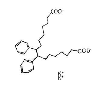 O=C([O-])CCCCCCC(c1ccccc1)C(CCCCCCC(=O)[O-])c1ccccc1.[K+].[K+]